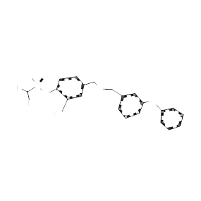 O=P(O)(Oc1ccc(COCc2cccc(Oc3ccccc3)c2)cc1Br)C(F)F